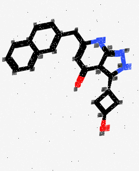 O=C1C=C(Cc2ccc3ccccc3c2)NC2=NNC([C@H]3C[C@H](O)C3)C12